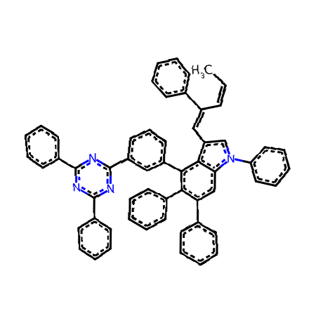 C/C=C\C(=C/c1cn(-c2ccccc2)c2cc(-c3ccccc3)c(-c3ccccc3)c(-c3cccc(-c4nc(-c5ccccc5)nc(-c5ccccc5)n4)c3)c12)c1ccccc1